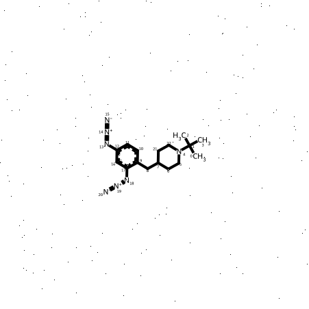 CC(C)(C)N1CCC(Cc2ccc(N=[N+]=[N-])cc2N=[N+]=[N-])CC1